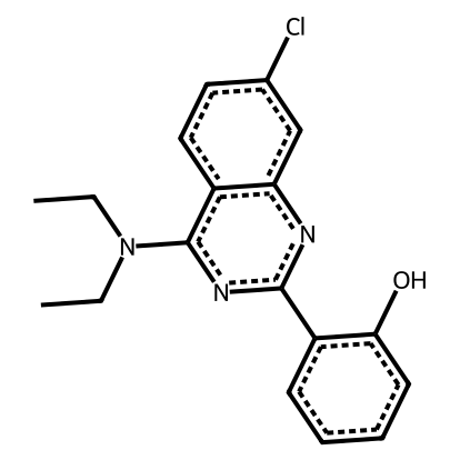 CCN(CC)c1nc(-c2ccccc2O)nc2cc(Cl)ccc12